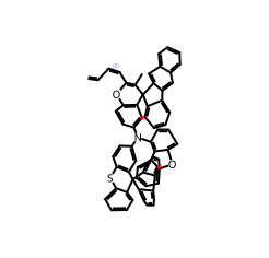 C=C/C=C\C1=C(C)C2(c3cc(N(c4ccc5c(c4)C4(c6ccccc6S5)c5ccccc5-c5ccccc54)c4cccc5oc6ccccc6c45)ccc3O1)c1ccccc1-c1cc3ccccc3cc12